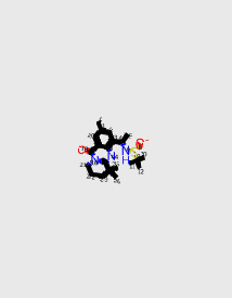 Cc1cc(C(C)N[S+]([O-])C(C)(C)C)c2nc3n(c(=O)c2c1)CCCC3(C)C